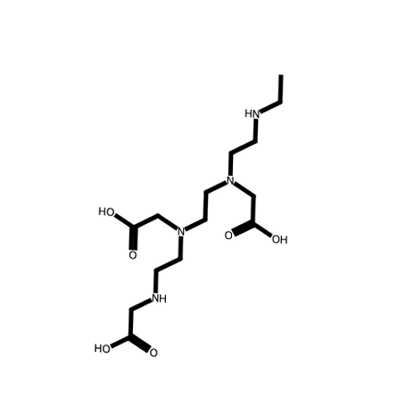 CCNCCN(CCN(CCNCC(=O)O)CC(=O)O)CC(=O)O